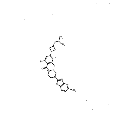 Cc1ccc2oc(N3CCN(C(=O)c4c(F)cc(N5CC(OC(C)C(F)(F)F)C5)cc4F)CC3)nc2n1